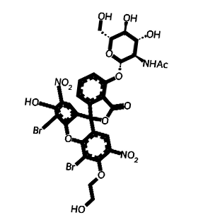 CC(=O)N[C@H]1[C@H](Oc2cccc3c2C(=O)OC32c3cc([N+](=O)[O-])c(O)c(Br)c3Oc3c2cc([N+](=O)[O-])c(OCCO)c3Br)O[C@H](CO)[C@@H](O)[C@@H]1O